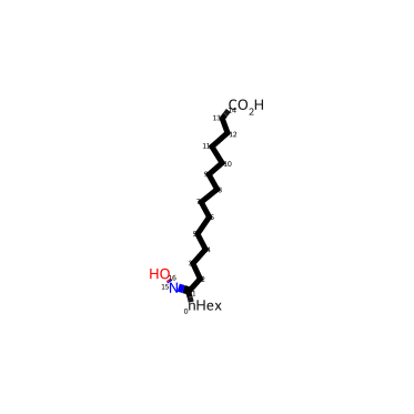 CCCCCCC(CCCCCCCCCCCCC(=O)O)=NO